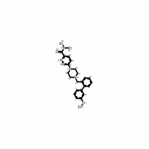 CCOc1cccc(-c2ccccc2CN2CCN(c3ccc(C(=O)N(CC)CC)nn3)CC2)c1